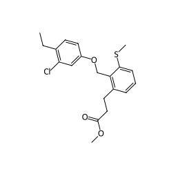 CCc1ccc(OCc2c(CCC(=O)OC)cccc2SC)cc1Cl